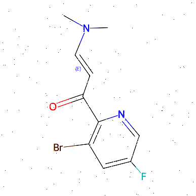 CN(C)/C=C/C(=O)c1ncc(F)cc1Br